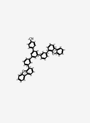 N#Cc1ccc(-c2cc(-c3cccc(-c4cccc5c4oc4ccccc45)c3)cc(-c3cccc(-c4cccc5c4oc4ccccc45)c3)c2)cc1